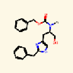 CCN(C(=O)OCc1ccccc1)C(CO)Cc1c[nH]c(Cc2ccccc2)n1